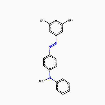 CCC(C)c1cc(/N=N/c2ccc(N(C=O)c3ccccc3)cc2)cc(C(C)CC)c1